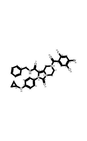 O=C(NCc1ccccc1)c1c2n(c(=O)n1-c1ccc(OC3CC3)cc1)CCN(C(=O)c1cc(Cl)c(Br)cc1F)C2